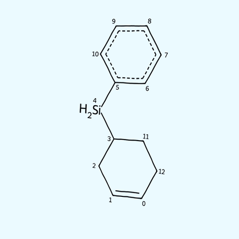 C1=CCC([SiH2]c2ccccc2)CC1